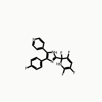 FC1=CC(F)=C(F)NC1(F)c1nc(-c2ccc(F)cc2)c(-c2ccncc2)[nH]1